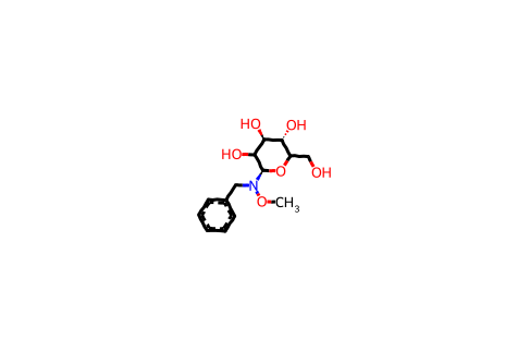 CON(Cc1ccccc1)[C@@H]1OC(CO)[C@@H](O)[C@H](O)C1O